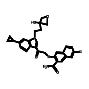 NC(=O)c1cc2cc(Cl)ccc2cc1OCC(=O)c1cn(CCC2(O)COC2)c2cc(C3CC3)ccc12